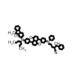 C=C/C=C(\C=CC)N(c1ccc2c(c1)Oc1ccc3c4c(ccc-2c14)Oc1cc(N(/C=C/C=C(/C#N)C(=C)c2ccccc2)c2ccccc2)ccc1-3)c1ccc2c(c1)C(C)(C)c1ccccc1-2